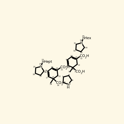 C1CCNC1.CC1(C(=O)O)C=CC=C(C(=O)O)C1.CC1(C(=O)O)C=CC=C(C(=O)O)C1.CCCCCCCN1CCCC1.CCCCCCN1CCCC1